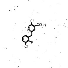 O=C(O)c1cc(Cc2cccc(Cl)c2F)ncc1Cl